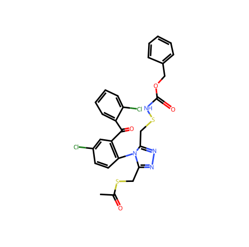 CC(=O)SCc1nnc(CSNC(=O)OCc2ccccc2)n1-c1ccc(Cl)cc1C(=O)c1ccccc1Cl